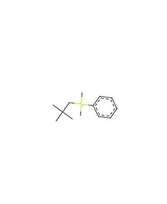 CC(C)(C)CS(C)(C)c1ccccc1